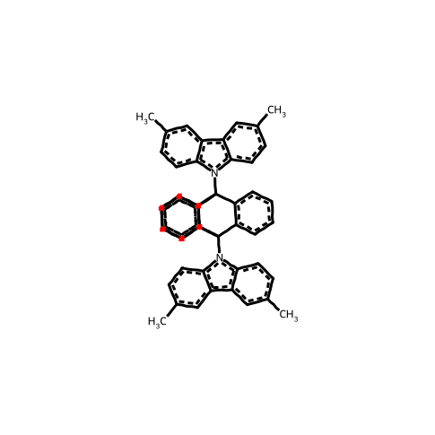 Cc1ccc2c(c1)c1cc(C)ccc1n2C12c3ccccc3C(n3c4ccc(C)cc4c4cc(C)ccc43)(c3ccccc31)c1ccccc12